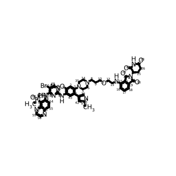 COc1cc(N2CCN(CCCOCCNc3cccc4c3C(=O)N(C3CCC(=O)NC3=O)C4=O)CC2)c(-c2cnn(C)c2)cc1Nc1ncc(Br)c(Nc2ccc3nccnc3c2P(C)(C)=O)n1